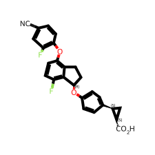 N#Cc1ccc(Oc2ccc(F)c3c2CC[C@H]3Oc2ccc([C@H]3C[C@@H]3C(=O)O)cc2)c(F)c1